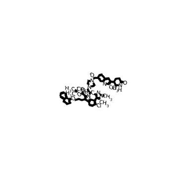 Cc1nc2cc(C(=O)N3CCN(CCn4c(C(=O)OC(C)(C)C)c(CCCOc5cccc6ccccc56)c5ccc(Cl)c(-c6c(C)nn(C)c6C)c54)CC3)ccc2cc1C1CCC(=O)NC1=O